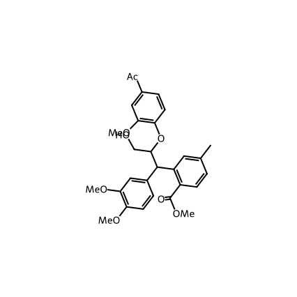 COC(=O)c1ccc(C)cc1C(c1ccc(OC)c(OC)c1)C(CO)Oc1ccc(C(C)=O)cc1OC